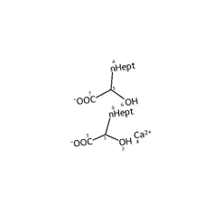 CCCCCCCC(O)C(=O)[O-].CCCCCCCC(O)C(=O)[O-].[Ca+2]